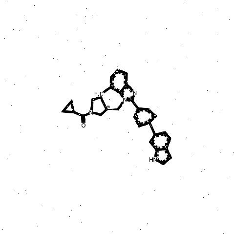 O=C(C1CC1)N1CC[C@@H](Cn2c(-c3ccc(-c4ccc5cc[nH]c5c4)cc3)nc3cccc(C(F)(F)F)c32)C1